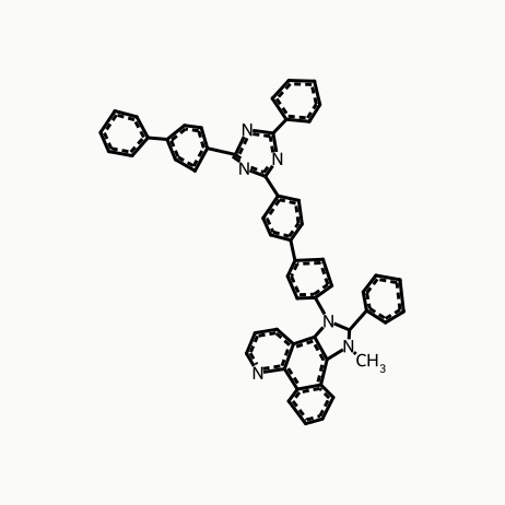 CN1c2c(c3cccnc3c3ccccc23)N(c2ccc(-c3ccc(-c4nc(-c5ccccc5)nc(-c5ccc(-c6ccccc6)cc5)n4)cc3)cc2)C1c1ccccc1